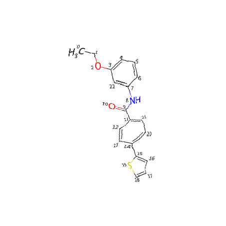 CCOc1cccc(NC(=O)c2ccc(-c3cccs3)cc2)c1